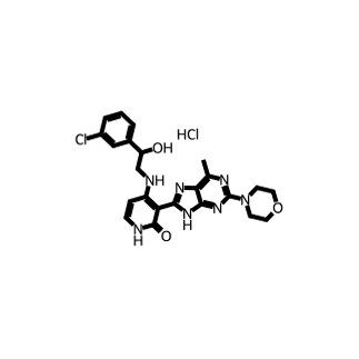 Cc1nc(N2CCOCC2)nc2[nH]c(-c3c(NCC(O)c4cccc(Cl)c4)cc[nH]c3=O)nc12.Cl